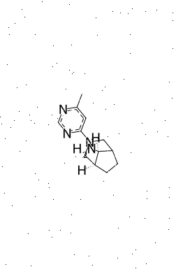 Cc1cc(N2CC3CC[C@@H](C2)[C@H]3N)ncn1